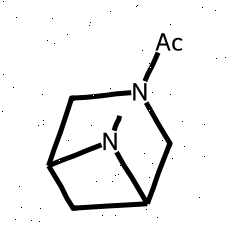 CC(=O)N1CC2CC(C1)N2C